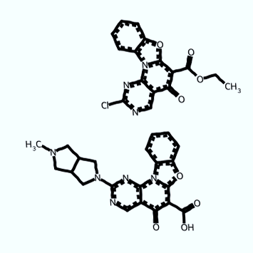 CCOC(=O)c1c(=O)c2cnc(Cl)nc2n2c1oc1ccccc12.CN1CC2CN(c3ncc4c(=O)c(C(=O)O)c5oc6ccccc6n5c4n3)CC2C1